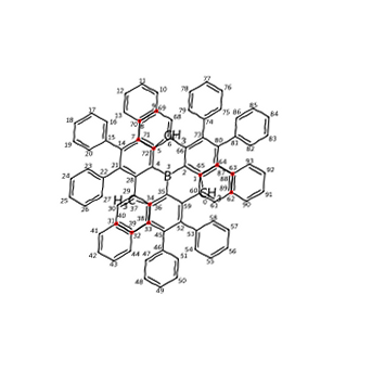 Cc1c(B(c2c(C)c(-c3ccccc3)c(-c3ccccc3)c(-c3ccccc3)c2-c2ccccc2)c2c(C)c(-c3ccccc3)c(-c3ccccc3)c(-c3ccccc3)c2-c2ccccc2)c(-c2ccccc2)c(-c2ccccc2)c(-c2ccccc2)c1-c1ccccc1